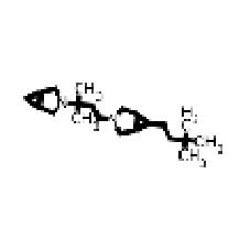 CC(C)(C)CCC1C2CN(CCC(C)(C)N3CC4CC4C3)CC12